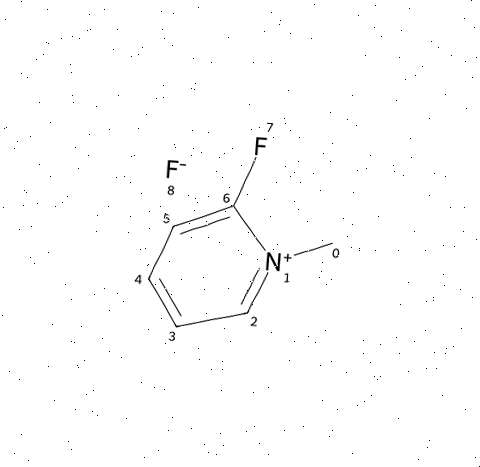 C[n+]1ccccc1F.[F-]